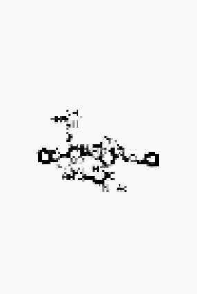 CC(=O)N[C@H](CCCNC(=N)N)C(=O)N[C@@H](Cc1cncn1COCc1ccccc1)C(=O)N[C@@H](CCC(C)C)C(=O)N[C@@H](CCCNC(=N)N)C(=O)c1nc2ccccc2s1